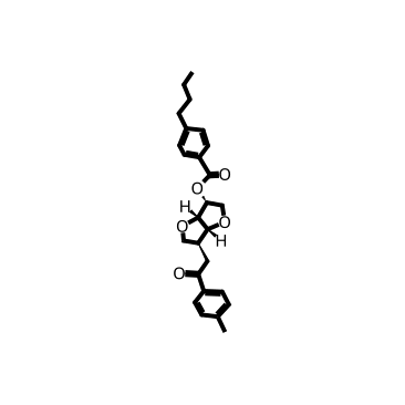 CCCCc1ccc(C(=O)O[C@@H]2CO[C@@H]3[C@@H](CC(=O)c4ccc(C)cc4)CO[C@@H]32)cc1